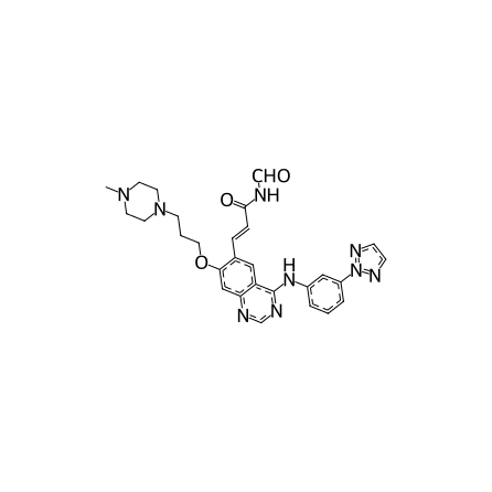 CN1CCN(CCCOc2cc3ncnc(Nc4cccc(-n5nccn5)c4)c3cc2C=CC(=O)NC=O)CC1